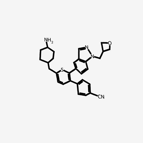 N#Cc1ccc(C2=C(c3ccc4c(cnn4CC4COC4)c3)SC(CC3CCC(N)CC3)=C=C2)cc1